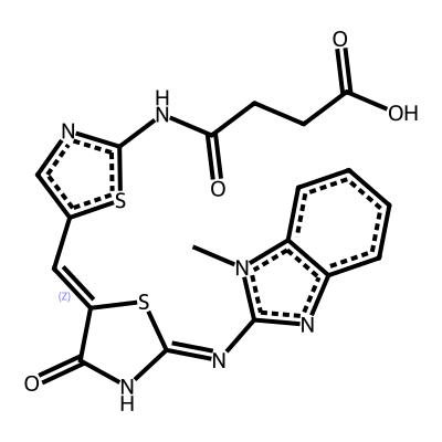 Cn1c(N=C2NC(=O)/C(=C/c3cnc(NC(=O)CCC(=O)O)s3)S2)nc2ccccc21